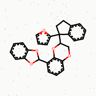 [CH]1Oc2cccc(C3Oc4ccccc4O3)c2OC1C1(c2ccco2)CCc2ccccc21